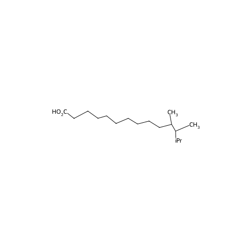 CC(C)C(C)C(C)CCCCCCCCCC(=O)O